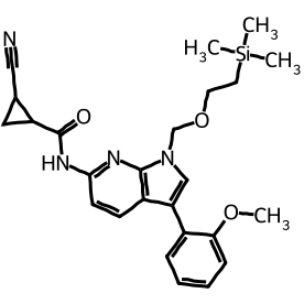 COc1ccccc1-c1cn(COCC[Si](C)(C)C)c2nc(NC(=O)C3CC3C#N)ccc12